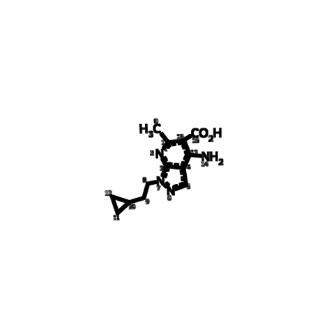 Cc1nc2c(cnn2CCC2CC2)c(N)c1C(=O)O